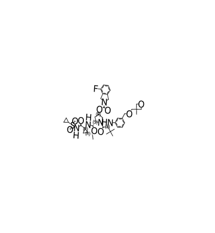 CC[C@@H]1C[C@]1(NC(=O)[C@@H]1C[C@@H](OC(=O)N2Cc3cccc(F)c3C2)CN1C(=O)[C@@H](Nc1cccc(COCC2(C)COC2)c1)C(C)(C)C)C(=O)NS(=O)(=O)C1CC1